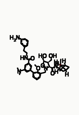 COc1c(CN2O[C@@H](CO)[C@@H](CO)[C@H]2C(=O)N[C@H]2C[C@H]3C[C@@H]([C@@H]2C)C3(C)C)cccc1-c1cc(C(=O)NCCc2cccc(N)c2)cc(N(C)C)c1